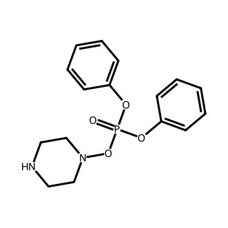 O=P(Oc1ccccc1)(Oc1ccccc1)ON1CCNCC1